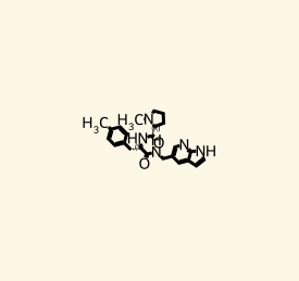 Cc1ccc(C[C@H](NC(=O)[C@H]2CCCN2C)C(=O)NCc2cnc3[nH]ccc3c2)cc1